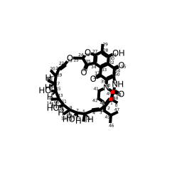 C/C1=C/C=C/[C@H](C)[C@H](O)[C@@H](C)[C@@H](O)[C@@H](C)[C@H](O)[C@H](C)[C@@H](C)/C=C/O[C@@]2(C)Oc3c(C)c(O)c4c(c3C2=O)C(=O)C(N2CCN(CC(C)C)CC2)=C(NC1=O)C4=O